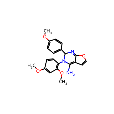 COc1ccc(C2N=c3occc3=C(N)N2c2ccc(OC)cc2OC)cc1